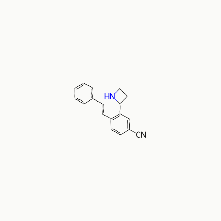 N#Cc1ccc(C=Cc2ccccc2)c(C2CCN2)c1